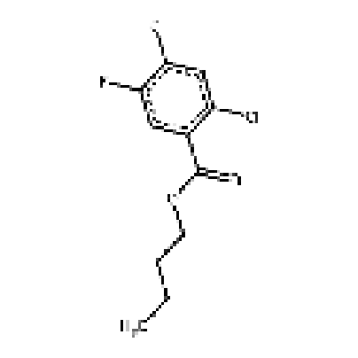 CCCCOC(=O)c1cc(F)c(Cl)cc1Cl